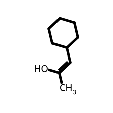 CC(O)=CC1CCCCC1